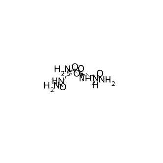 NC(=O)NCCC[C@@H](N)C(=O)OC(=O)[C@H](N)CCCNC(N)=O